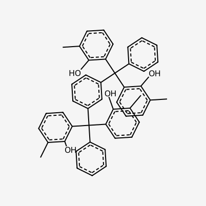 Cc1cccc(C(c2ccccc2)(c2cccc(C(c3ccccc3)(c3cccc(C)c3O)c3cccc(C)c3O)c2)c2cccc(C)c2O)c1O